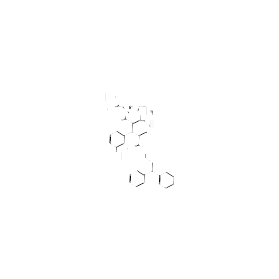 CC1=C(C(=O)OCCC(c2ccccc2)c2ccccc2)C(c2cccc(Cl)c2)C(C(=O)N(C)C(=O)O)=C(C)N1